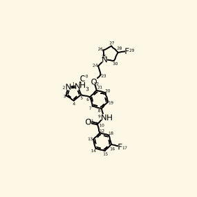 Cn1nccc1-c1cc(NC(=O)c2cccc(F)c2)ccc1OCCN1CCC(F)C1